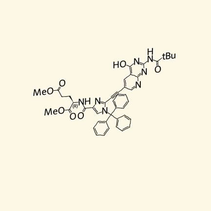 COC(=O)CC[C@@H](NC(=O)c1cn(C(c2ccccc2)(c2ccccc2)c2ccccc2)c(C#Cc2cnc3nc(NC(=O)C(C)(C)C)nc(O)c3c2)n1)C(=O)OC